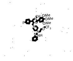 COc1cc(C(=O)N(C)CC(CCN2CCC(N(CCOCC(F)(F)F)c3nc4ccccc4[nH]3)CC2)c2ccc(F)cc2)cc(OC)c1OC